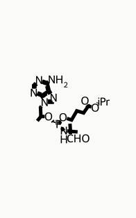 CC(C)OC(=O)CCCO[P@@](COC(C)Cn1cnc2c(N)ncnc21)NC(C)(C)C=O